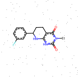 CCn1c(=O)[nH]c2c(c1=O)CCC(c1cccc(F)c1)N2